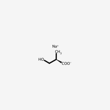 C[C@H](CO)C(=O)[O-].[Na+]